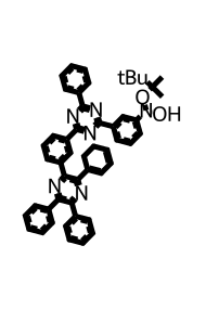 CC(C)(C)C(C)(C)ON(O)c1cccc(-c2nc(-c3ccccc3)nc(-c3cccc(-c4nc(-c5ccccc5)c(-c5ccccc5)nc4C4=CC=CCC4)c3)n2)c1